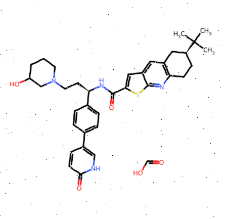 CC(C)(C)[C@H]1CCc2nc3sc(C(=O)N[C@H](CCN4CCCC(O)C4)c4ccc(-c5ccc(=O)[nH]c5)cc4)cc3cc2C1.O=CO